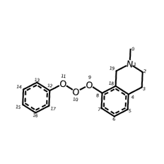 CN1CCc2cccc(OOOc3ccccc3)c2C1